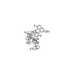 C#Cc1c(F)ccc2cc(O)cc(-c3nc4c5c(nc(OC[C@@]67CCCN6C[C@H](F)C7)nc5c3F)N3C[C@H]5CC[C@@H]([C@@H]3[C@@H](C)C4)N5Cc3oc(=O)oc3C)c12